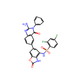 Nc1nc2ccc(-c3cc(NS(=O)(=O)c4ccc(F)cc4F)c4[nH]c(=O)oc4c3)cc2c(=O)n1-c1ccccc1